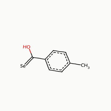 Cc1ccc(C(O)=[Se])cc1